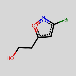 OCCc1cc(Br)no1